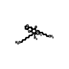 CCCCCCCCN1C(=O)/C(=C\c2ccco2)C(=O)N(CCCCCCC)C1(C)C